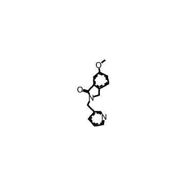 COc1ccc2c(c1)C(=O)N(Cc1cccnc1)C2